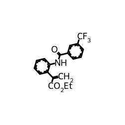 C=C(C(=O)OCC)c1ccccc1NC(=O)c1cccc(C(F)(F)F)c1